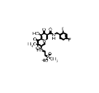 CC1(C)C(=O)c2c(O)c(=O)c(C(=O)NCc3ccc(F)cc3F)cn2CC1NCCP(C)(=O)O